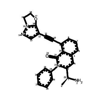 C[C@H](N)c1cc2cccc(C#Cc3cnn4c3OCC4)c2c(=O)n1-c1ccccc1